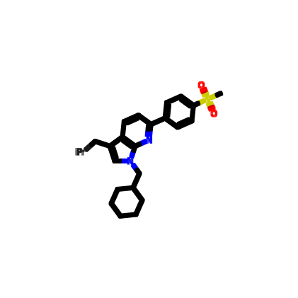 CC(C)Cc1cn(CC2CCCCC2)c2nc(-c3ccc(S(C)(=O)=O)cc3)ccc12